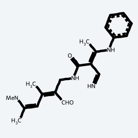 CN/C(C)=C\C(C)=C(/C=O)CNC(=O)/C(C=N)=C(\C)Nc1ccccc1